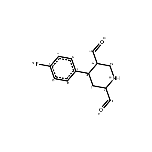 O=CC1CC(c2ccc(F)cc2)C(C=O)CN1